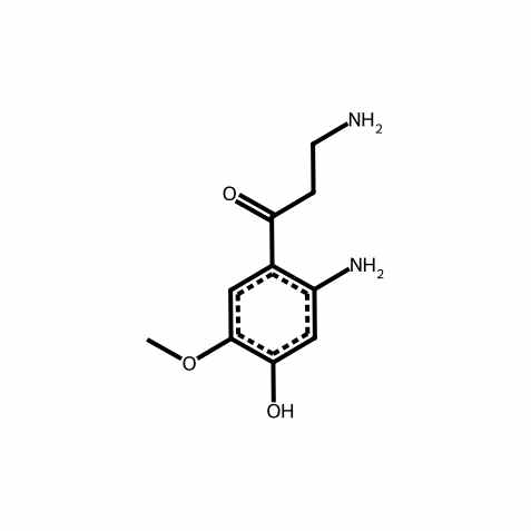 COc1cc(C(=O)CCN)c(N)cc1O